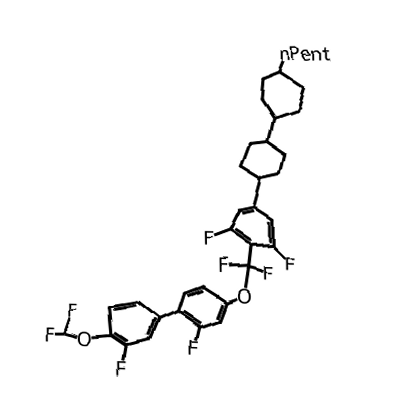 CCCCCC1CCC(C2CCC(c3cc(F)c(C(F)(F)Oc4ccc(-c5ccc(OC(F)F)c(F)c5)c(F)c4)c(F)c3)CC2)CC1